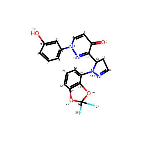 O=c1ccn(-c2cccc(O)c2)nc1C1CC=NN1c1cccc2c1OC(F)(F)O2